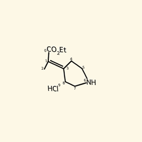 CCOC(=O)C(C)=C1CCNCC1.Cl